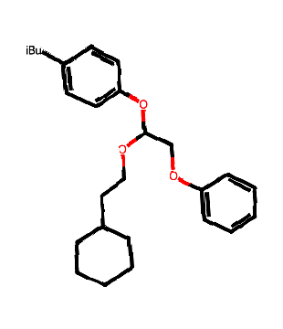 CCC(C)c1ccc(OC(COc2ccccc2)OCCC2CCCCC2)cc1